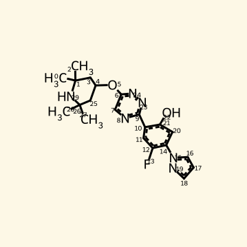 CC1(C)CC(Oc2cnc(-c3cc(F)c(-n4cccn4)cc3O)nn2)CC(C)(C)N1